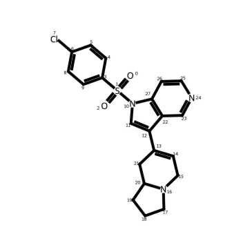 O=S(=O)(c1ccc(Cl)cc1)n1cc(C2=CCN3CCCC3C2)c2cnccc21